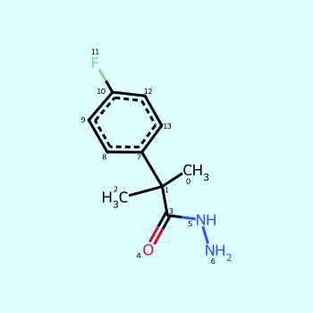 CC(C)(C(=O)NN)c1ccc(F)cc1